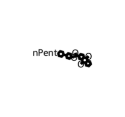 CCCCCC1CCC(c2ccc(OC(=O)c3ccc4c(c3)C(=O)c3ccccc3C4=O)cc2)CC1